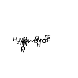 Nc1nc(-c2ccncc2)nc2c1ncn2CCCCOC(=O)NCc1cccc(C(F)(F)F)c1